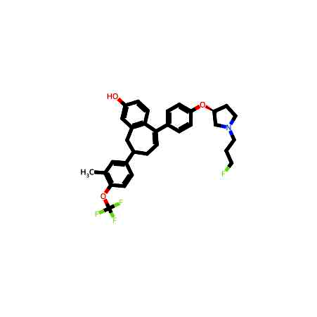 Cc1cc(C2CC=C(c3ccc(O[C@H]4CCN(CCCF)C4)cc3)c3ccc(O)cc3C2)ccc1OC(F)(F)F